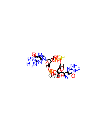 COSP1(=O)OC[C@H]2O[C@@H](n3cnc4c(=O)[nH]c(N)nc43)C[C@@H]2OP(=O)(S)OC[C@H]2OC(C3C=Nc4c3nc(N)[nH]c4=O)[C@H](O)[C@@H]2O1